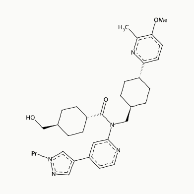 COc1ccc([C@H]2CC[C@H](CN(c3cc(-c4cnn(C(C)C)c4)ccn3)C(=O)[C@H]3CC[C@H](CO)CC3)CC2)nc1C